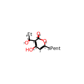 CCCC(C)c1cc(O)c(C(=O)CC)c(=O)o1